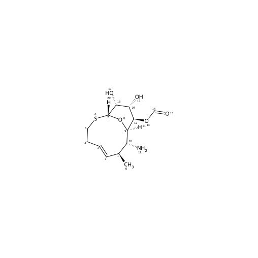 C[C@H]1/C=C/CCS[C@H]2O[C@H]([C@@H]1N)[C@H](OC=O)[C@@H](O)[C@H]2O